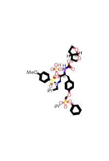 COc1ccc(S(=O)(=O)N(CC(C)C)C[C@@H](OP(=O)(O)O)[C@H](Cc2ccc(OCP(=O)(Oc3ccccc3)OC(C)C)cc2)NC(=O)O[C@H]2CO[C@H]3OCC[C@H]32)cc1